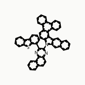 c1ccc2cc3c(cc2c1)c1c2c4ccccc4c4ccccc4c2ccc1n3-c1nc2ccc3ccccc3c2nc1-c1cccc2c1sc1ccccc12